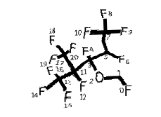 FCOC(F)(C(F)C(F)(F)F)C(F)(C(F)(F)F)C(F)(F)F